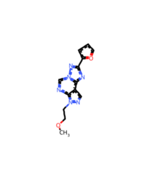 COCCn1ncc2c1ncn1nc(-c3ccco3)nc21